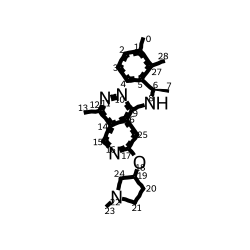 Cc1cccc([C@@H](C)Nc2nnc(C)c3cnc(OC4CCN(C)C4)cc23)c1C